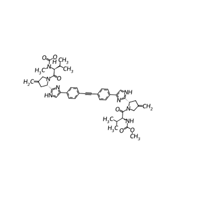 C=C1C[C@@H](c2nc(-c3ccc(C#Cc4ccc(-c5c[nH]c([C@@H]6CC(=C)CN6C(=O)[C@H](C(C)C)N(C)C(=O)O)n5)cc4)cc3)c[nH]2)N(C(=O)[C@@H](NC(=O)OC)C(C)C)C1